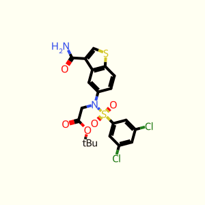 CC(C)(C)OC(=O)CN(c1ccc2scc(C(N)=O)c2c1)S(=O)(=O)c1cc(Cl)cc(Cl)c1